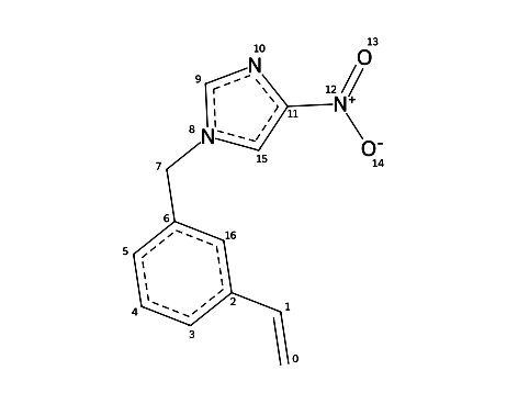 C=Cc1cccc(Cn2cnc([N+](=O)[O-])c2)c1